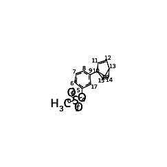 CS(=O)(=O)Oc1cccc(C23C=CC(CC2)C3)c1